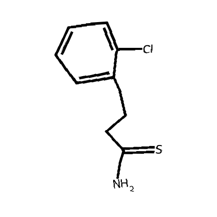 NC(=S)CCc1ccccc1Cl